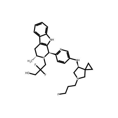 C[C@@H]1Cc2c([nH]c3ccccc23)[C@@H](c2ccc(N[C@@H]3CN(CCCF)CC34CC4)cn2)N1CC(F)(F)CO